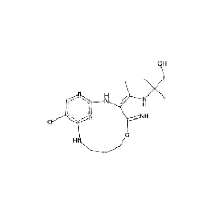 C/C(NC(C)(C)CO)=C1\Nc2ncc(Cl)c(n2)NCCCOC1=N